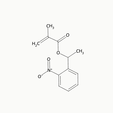 C=C(C)C(=O)OC(C)c1ccccc1[N+](=O)[O-]